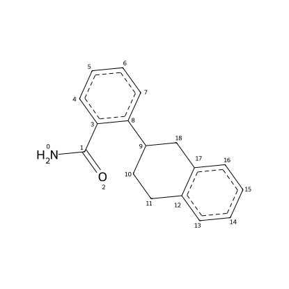 NC(=O)c1ccccc1C1CCc2ccccc2C1